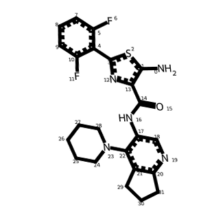 Nc1sc(-c2c(F)cccc2F)nc1C(=O)Nc1cnc2c(c1N1CCCCC1)CCC2